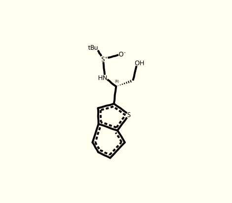 CC(C)(C)[S+]([O-])N[C@H](CO)c1cc2ccccc2s1